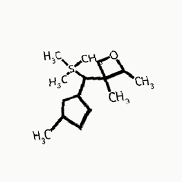 CC1CCC(C(C2(C)COC2C)S(C)(C)C)C1